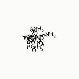 CC(=O)O.CCOC(=O)C1(N(C(C)=O)C(=O)[C@H](CCC(N)=O)NC(=O)[C@H](CCCCN)NC(=O)[C@@H](N)CC(C)C)CCCC1